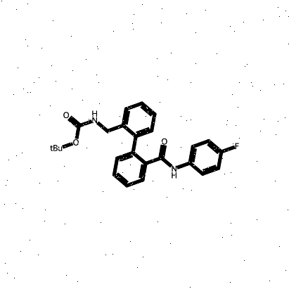 CC(C)(C)OC(=O)NCc1ccccc1-c1ccccc1C(=O)Nc1ccc(F)cc1